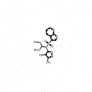 CCOC(OC)N(c1onc(C)c1Cl)S(=O)(=O)c1csc2ncccc12